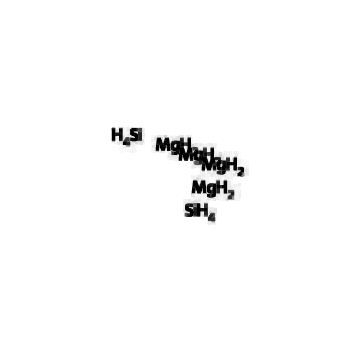 [MgH2].[MgH2].[MgH2].[MgH2].[SiH4].[SiH4]